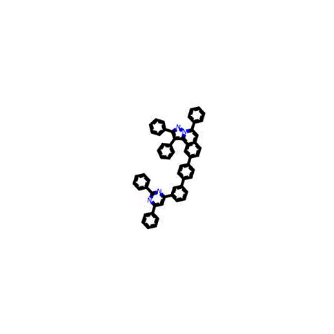 c1ccc(-c2cc(-c3cccc(-c4ccc(-c5ccc6cc(-c7ccccc7)n7nc(-c8ccccc8)c(-c8ccccc8)c7c6c5)cc4)c3)nc(-c3ccccc3)n2)cc1